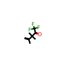 C=C(C)C(C)(C)C(=O)C(F)(F)F